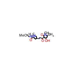 COCCNC(=O)c1cc(/C=C/C(=O)c2c(O)cc(C)n(C)c2=O)cn1C